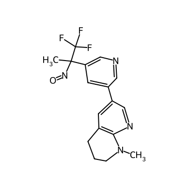 CN1CCCc2cc(-c3cncc(C(C)(N=O)C(F)(F)F)c3)cnc21